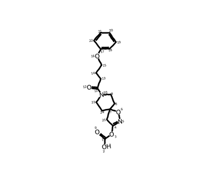 O=C(O)OC1=NOC2(CCN(C(=O)CCCOc3ccccc3)CC2)C1